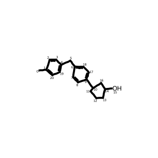 Cc1ccc(Cc2ccc(C3CCCC(O)C3)cc2)cc1